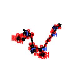 C=C1C[C@H]2[C@H](O)N(C(=O)OCc3ccc(O[C@@H]4O[C@H](C(=O)O)[C@@H](O)[C@H](O)[C@H]4O)cc3)c3cc(OCCCCCOc4cc5c(cc4OC)C(=O)N4CC(=C)C[C@H]4[C@H](O)N5C(=O)OCc4ccc(O[C@@H]5O[C@H](C(=O)O)[C@@H](O)[C@H](O)[C@H]5O)c(NC(=O)CCOCCOCCOCCOCCNC(=O)OCC[C@H](CNC(=O)OC(C)(C)C)N5C(=O)C=CC5=O)c4)c(OC)cc3C(=O)N2C1